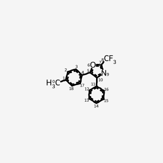 Cc1ccc(-c2oc(C(F)(F)F)nc2-c2ccccc2)cc1